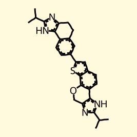 CC(C)c1nc2c([nH]1)-c1ccc(-c3cc4ccc5c(c4s3)OCc3nc(C(C)C)[nH]c3-5)cc1CC2